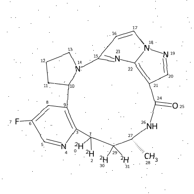 [2H]C1([2H])c2ncc(F)cc2C2CCCN2c2ccn3ncc(c3n2)C(=O)N[C@H](C)C1([2H])[2H]